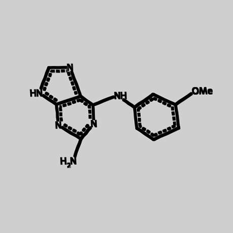 COc1cccc(Nc2nc(N)nc3[nH]cnc23)c1